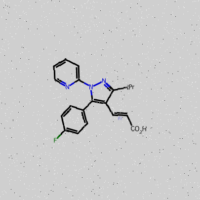 CC(C)c1nn(-c2ccccn2)c(-c2ccc(F)cc2)c1/C=C/C(=O)O